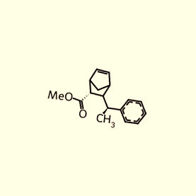 COC(=O)[C@@H]1C2C=CC(C2)C1[C@H](C)c1ccccc1